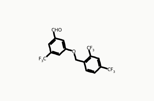 O=Cc1cc(OCc2ccc(C(F)(F)F)cc2C(F)(F)F)cc(C(F)(F)F)c1